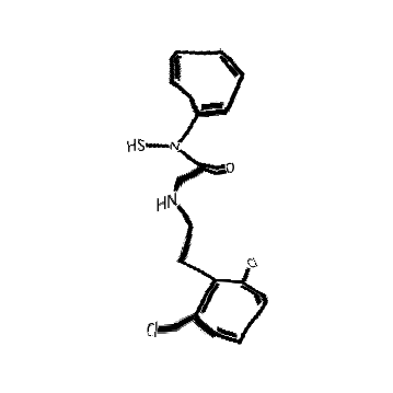 O=C(NCCc1c(Cl)cccc1Cl)N(S)c1cc[c]cc1